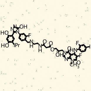 CC(C)c1cc(-c2nnc(O)n2-c2ccc(CNCCNC(=O)CC(=O)OC[C@H](O)Cn3cnc4c(c(Nc5ccc(I)cc5F)c(F)c(=O)n4C)c3=O)c(F)c2)c(O)cc1O